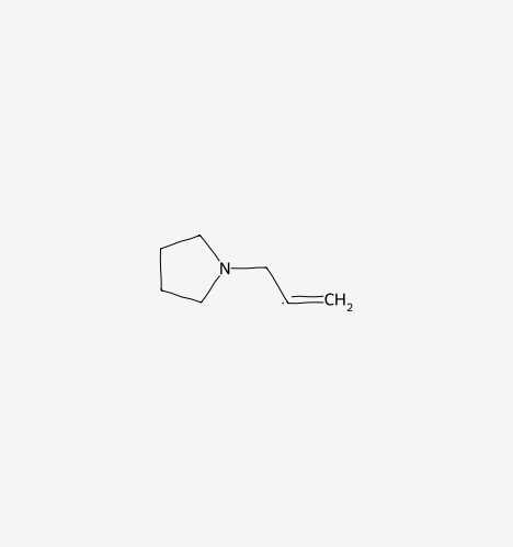 C=[C]CN1CCCC1